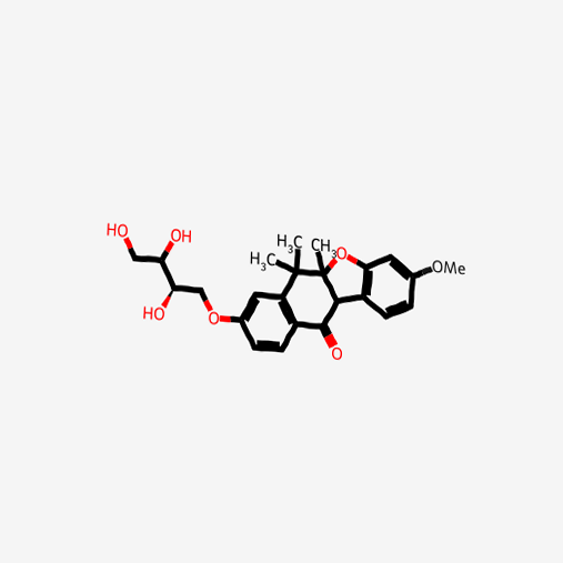 COc1ccc2c(c1)OC1(C)C2C(=O)c2ccc(OC[C@@H](O)C(O)CO)cc2C1(C)C